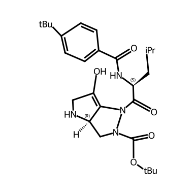 CC(C)C[C@H](NC(=O)c1ccc(C(C)(C)C)cc1)C(=O)N1C2=C(O)CN[C@@H]2CN1C(=O)OC(C)(C)C